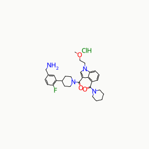 COCCn1cc(C(=O)N2CCC(c3cc(CN)ccc3F)CC2)c2c(C(=O)N3CCCCC3)cccc21.Cl